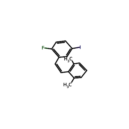 Cc1cccc(C)c1/C=C\c1cc(I)ccc1F